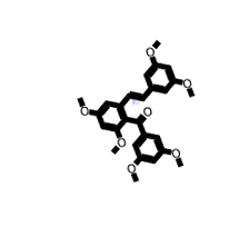 COc1cc(/C=C/c2cc(OC)cc(OC)c2C(=O)c2cc(OC)cc(OC)c2)cc(OC)c1